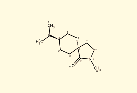 CC(C)[C@H]1CC[C@@]2(CCN(C)C2=O)CC1